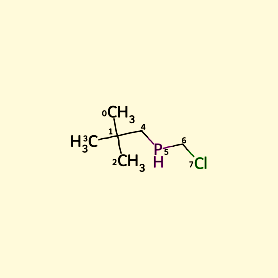 CC(C)(C)CPCCl